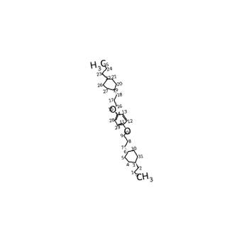 CCC[C@H]1CC[C@H](CCCOc2ccc(OCCC[C@H]3CC[C@H](CCC)CC3)cc2)CC1